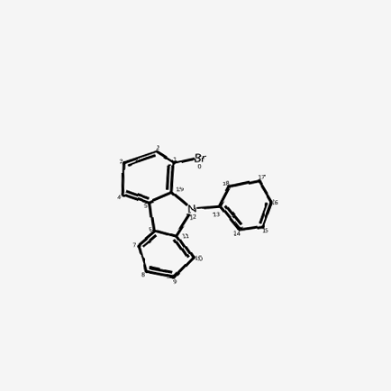 Brc1cccc2c3ccccc3n(C3=CC=CCC3)c12